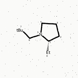 CC[C@H]1CCCN1CC(C)(C)C